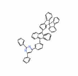 c1ccc(-c2cc(-c3cccc(-c4c5ccccc5c(-c5ccc6c(c5)C5(c7ccccc7-c7ccccc75)c5ccccc5-6)c5ccccc45)c3)nc(-c3ccccc3)n2)cc1